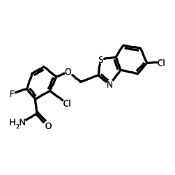 NC(=O)c1c(F)ccc(OCc2nc3cc(Cl)ccc3s2)c1Cl